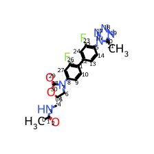 CC(=O)NC[C@H]1CN(c2ccc(-c3ccc(-n4nnnc4C)c(F)c3)c(F)c2)C(=O)O1